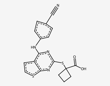 N#Cc1ccc(Nc2nc(SC3(C(=O)O)CCC3)nc3sccc23)cc1